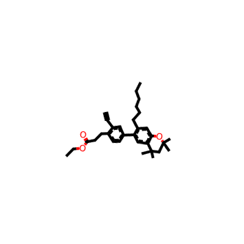 C#Cc1cc(-c2cc3c(cc2CCCCCC)OC(C)(C)CC3(C)C)ccc1CCC(=O)OCC